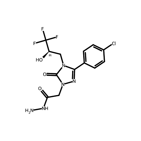 NNC(=O)Cn1nc(-c2ccc(Cl)cc2)n(C[C@@H](O)C(F)(F)F)c1=O